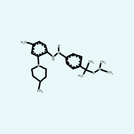 Cc1ccc(N[S+]([O-])c2ccc(C(C)(C)SN(C)C)cc2)c(N2CCC(C)CC2)c1